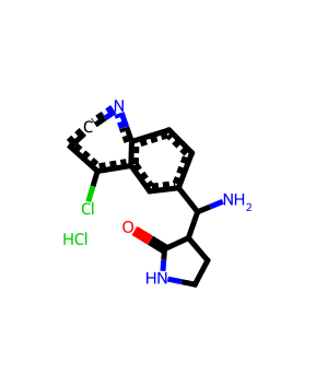 Cl.NC(c1ccc2nccc(Cl)c2c1)C1CCNC1=O